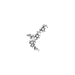 COc1ccc2nccc(CCC[C@@H]3CCN(CCSc4cccc(C)c4)C[C@@H]3CCC(=O)O)c2c1